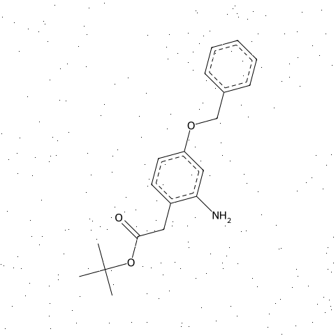 CC(C)(C)OC(=O)Cc1ccc(OCc2ccccc2)cc1N